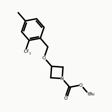 Cc1ccc(COC2CN(C(=O)OC(C)(C)C)C2)c(C(F)(F)F)c1